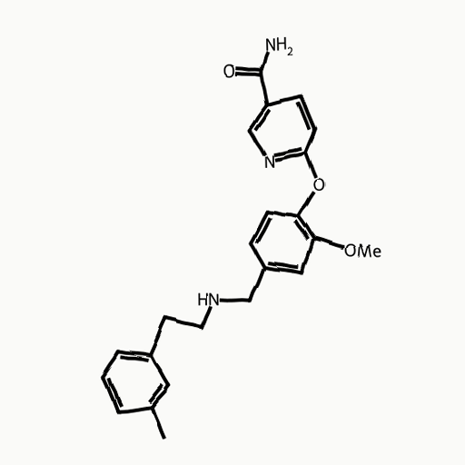 COc1cc(CNCCc2cccc(C)c2)ccc1Oc1ccc(C(N)=O)cn1